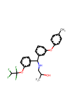 Cc1ccc(Oc2cccc(C(NCC(O)C(F)(F)F)c3cccc(OC(F)(F)C(F)F)c3)c2)cc1